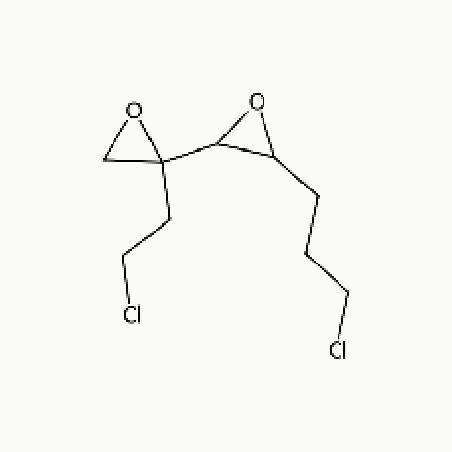 ClCCCC1OC1C1(CCCl)CO1